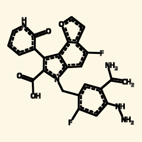 C=C(N)c1cc(Cn2c(C(=O)O)c(-c3ccc[nH]c3=O)c3c4occc4c(F)cc32)c(F)cc1NN